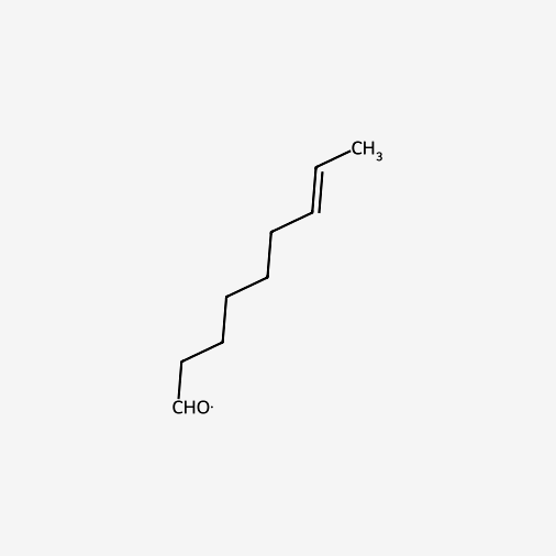 CC=CCCCCC[C]=O